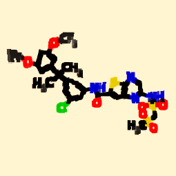 CC(C)Oc1cc(OC(F)(F)F)cc(C(C)(C)c2cc(Cl)cc(NC(=O)c3cc4nc(NS(=O)(=O)CS(C)(=O)=O)cnc4s3)c2)c1